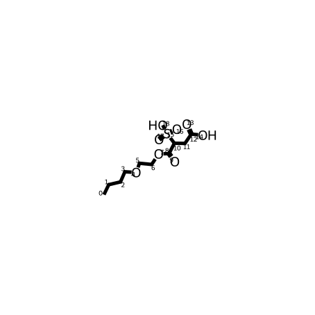 CCCCOCCOC(=O)C(CC(=O)O)S(=O)(=O)O